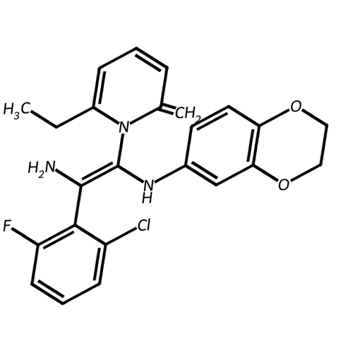 C=C1C=CC=C(CC)N1/C(Nc1ccc2c(c1)OCCO2)=C(\N)c1c(F)cccc1Cl